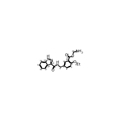 CCOc1ccc(CNC(=O)c2n[nH]c3ccccc23)cc1C(=O)OCN